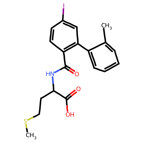 CSCCC(NC(=O)c1ccc(I)cc1-c1ccccc1C)C(=O)O